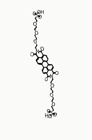 O=C1c2ccc3c4ccc5c6c(ccc(c7ccc(c2c37)C(=O)N1CCOCCOCCOCCS(=O)(=O)O)c64)C(=O)N(CCOCCOCCOCCS(=O)(=O)O)C5=O